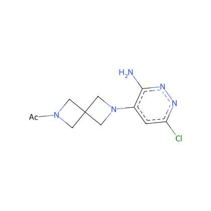 CC(=O)N1CC2(C1)CN(c1cc(Cl)nnc1N)C2